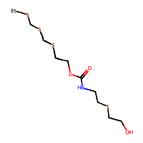 CCSCSCSCCOC(=O)NCCSCCO